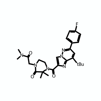 CN(C)C(=O)CN1CCN(C(=O)c2cn3nc(-c4ccc(F)cc4)cc(C(C)(C)C)c3n2)C(C)(C)C1=O